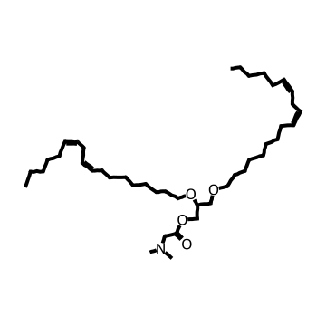 CCCCC/C=C\C/C=C\CCCCCCCCOCC(COC(=O)CN(C)C)OCCCCCCCC/C=C\C/C=C\CCCCC